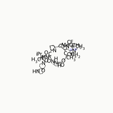 C=C/C(=C(\N=C/C)[C@H](C)OC)c1c2c3cc(ccc3n1CC(F)(F)F)-c1cccc(n1)C[C@H](NC(=O)[C@H](C(C)C)N(C)C(=O)N1CCC3(CC1)CNCCO3)C(=O)N1CCC[C@H](N1)C(=O)OCC(C)(C)C2